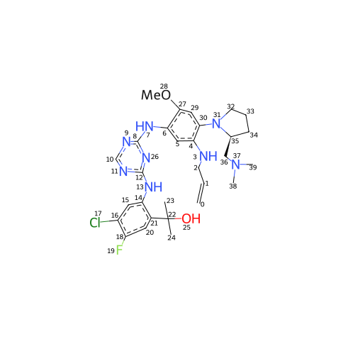 C=CCNc1cc(Nc2ncnc(Nc3cc(Cl)c(F)cc3C(C)(C)O)n2)c(OC)cc1N1CCC[C@H]1CN(C)C